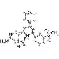 CS(=O)(=O)c1cccc(-c2cc(N3CCOCC3)nc(-c3cnc(N)cc3C(F)(F)F)n2)c1